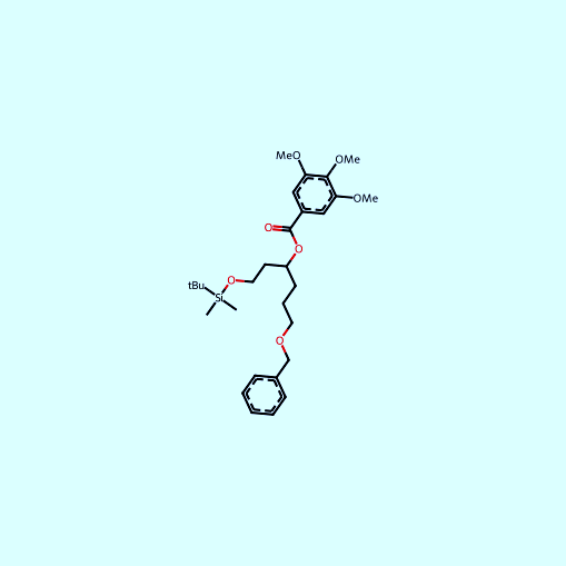 COc1cc(C(=O)OC(CCCOCc2ccccc2)CCO[Si](C)(C)C(C)(C)C)cc(OC)c1OC